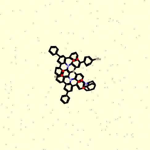 CC(C)(C)c1ccc(-c2ccc3c(c2)B2c4ccc(N5C6CC7CC(C6)CC5C7)cc4N(c4c(-c5ccccc5)cc(-c5ccccc5)cc4-c4ccccc4)c4cc(C(C)(C)C)cc(c42)N3c2c(-c3ccccc3)cc(-c3ccccc3)cc2-c2ccccc2)cc1